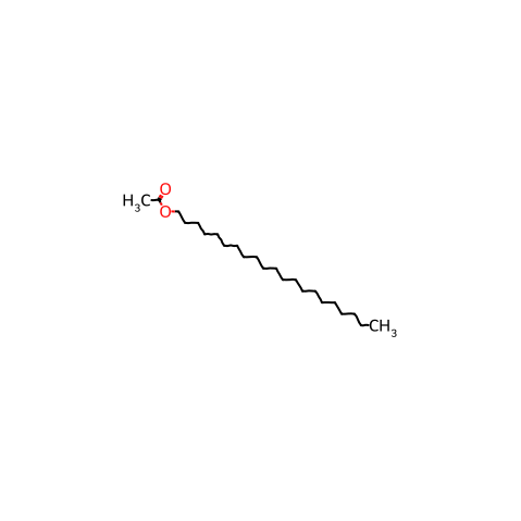 CCCCCCCCCCCCCCCCCCCCCOC(C)=O